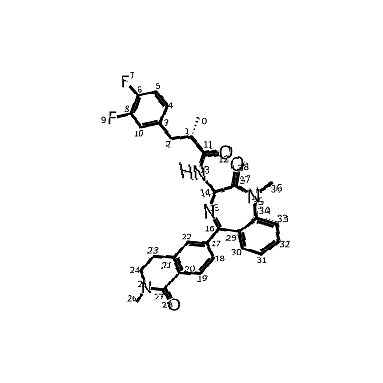 C[C@@H](Cc1ccc(F)c(F)c1)C(=O)NC1N=C(c2ccc3c(c2)CCN(C)C3=O)c2ccccc2N(C)C1=O